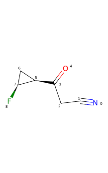 N#CCC(=O)[C@@H]1C[C@@H]1F